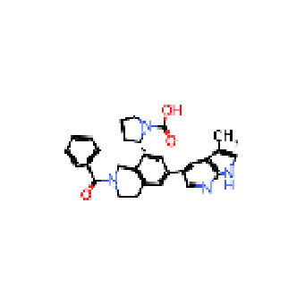 Cc1c[nH]c2ncc(-c3cc4c(c([C@@H]5CCCN5C(=O)O)c3)CN(C(=O)c3ccccc3)CC4)cc12